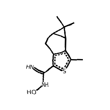 Cc1sc(C(=N)NO)c2c1C1C(C2)C1(C)C